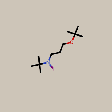 CC(C)(C)OCCCN(I)C(C)(C)C